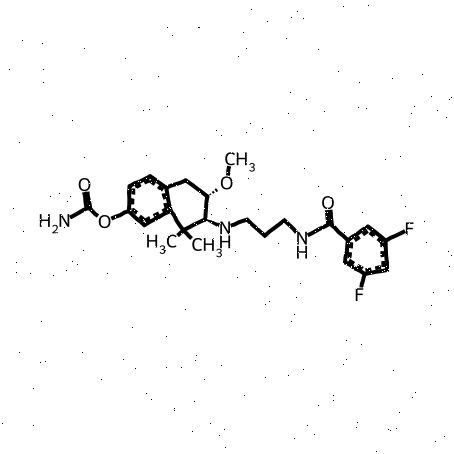 CO[C@H]1Cc2ccc(OC(N)=O)cc2C(C)(C)[C@@H]1NCCCNC(=O)c1cc(F)cc(F)c1